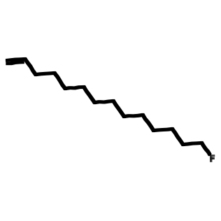 C=CCCCCCCCCCCCCF